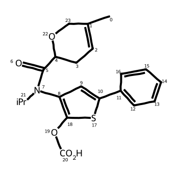 CC1=CCC(C(=O)N(c2cc(-c3ccccc3)sc2OC(=O)O)C(C)C)OC1